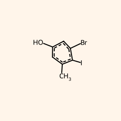 Cc1cc(O)cc(Br)c1I